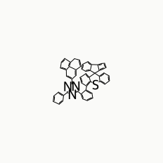 C1=Cc2cc(-c3nc(-c4ccccc4)nc(-c4ccccc4-c4cccc5c4Sc4ccccc4C54c5ccccc5-c5ccccc54)n3)cc3cccc(c23)C1